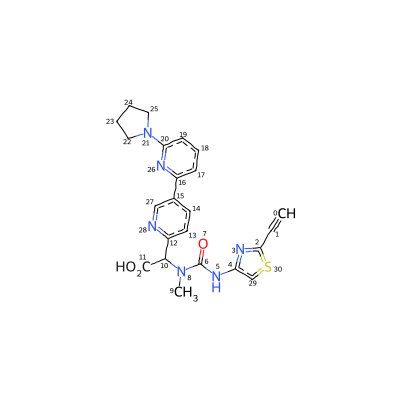 C#Cc1nc(NC(=O)N(C)C(C(=O)O)c2ccc(-c3cccc(N4CCCC4)n3)cn2)cs1